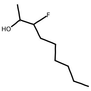 CCCCCCC(F)[C](C)O